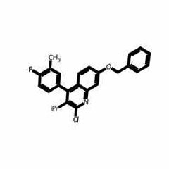 Cc1cc(-c2c(C(C)C)c(Cl)nc3cc(OCc4ccccc4)ccc23)ccc1F